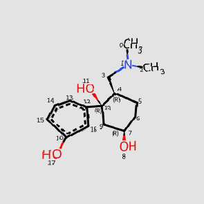 CN(C)C[C@H]1CC[C@@H](O)C[C@]1(O)c1cccc(O)c1